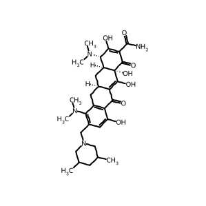 CC1CC(C)CN(Cc2cc(O)c3c(c2N(C)C)C[C@H]2C[C@H]4[C@H](N(C)C)C(O)=C(C(N)=O)C(=O)[C@@]4(O)C(O)=C2C3=O)C1